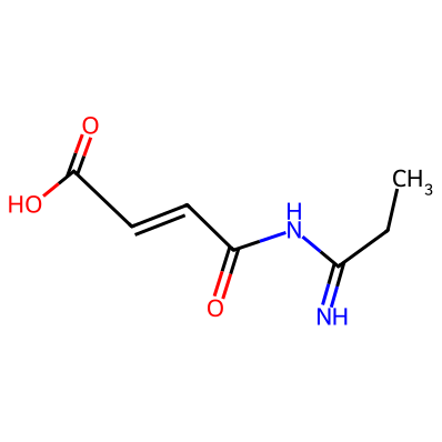 CCC(=N)NC(=O)C=CC(=O)O